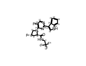 O=C(NCC(F)(F)F)[C@H]1C[C@H](F)CN1c1nc(-c2c[nH]c3ccccc23)ncc1F